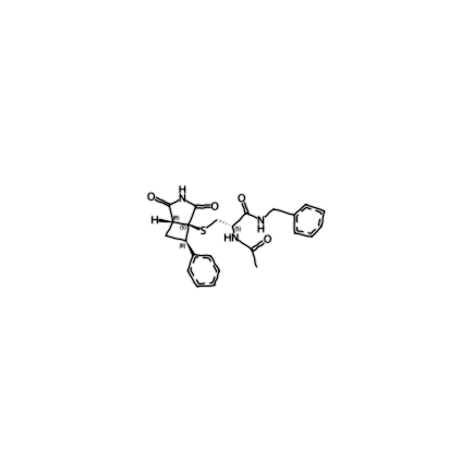 CC(=O)N[C@H](CS[C@]12C(=O)NC(=O)[C@H]1C[C@@H]2c1ccccc1)C(=O)NCc1ccccc1